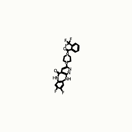 O=C1Nc2cc(F)c(F)cc2Nc2nnc(N3CCN(C(=O)c4ccccc4C(F)(F)F)CC3)cc21